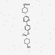 CCCCC[C@H]1CC[C@H](c2cnc(-c3ccc(OC(=O)[C@H]4CC[C@H](CCC)CC4)cc3)nc2)CC1